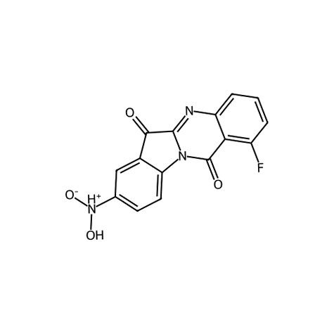 O=C1c2cc([NH+]([O-])O)ccc2-n2c1nc1cccc(F)c1c2=O